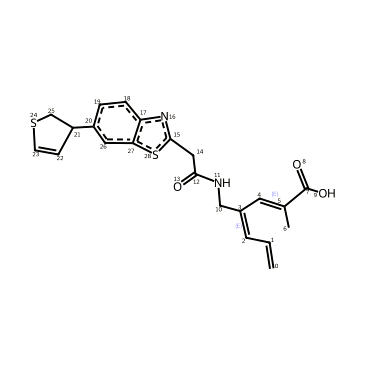 C=C/C=C(\C=C(/C)C(=O)O)CNC(=O)Cc1nc2ccc(C3C=CSC3)cc2s1